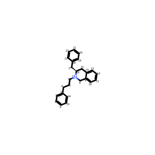 c1ccc(CCCN2Cc3ccccc3C[C@@H]2Cc2ccccc2)cc1